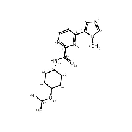 Cn1cncc1-c1ccnc(C(=O)N[C@H]2CC[C@H](OC(F)F)CC2)n1